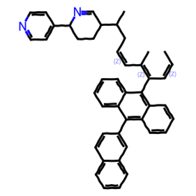 C\C=C/C(=C(C)/C=C\CC(C)C1C=NC(c2ccncc2)CC1)c1c2ccccc2c(-c2ccc3ccccc3c2)c2ccccc12